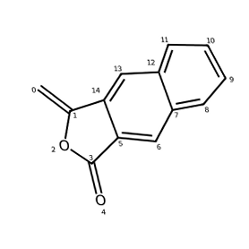 C=C1OC(=O)c2cc3ccccc3cc21